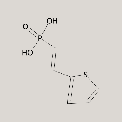 O=P(O)(O)C=Cc1cccs1